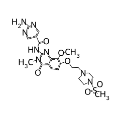 COc1c(OCCN2CCN(S(C)(=O)=O)CC2)ccc2c(=O)n(C)c(NC(=O)c3cnc(N)nc3)nc12